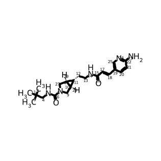 CC(C)(C)CNC(=O)N1C[C@@H]2[C@@H](CCNC(=O)/C=C/c3ccc(N)nc3)[C@@H]2C1